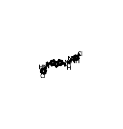 CC(=NNC(=N)Nc1ccc(Cl)cc1)c1ccc2c(c1)Cc1cc(C(C)=NNc3ccc(Cl)cc3)ccc1-2